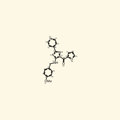 COc1ccc(CNc2nc(-c3ccncc3)nn2C(=O)c2ccco2)cc1